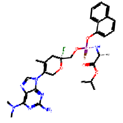 CC1=C(n2cnc3c(N(C)C)nc(N)nc32)CO[C@](F)(CO[P@@](=S)(N[C@H](C)C(=O)OC(C)C)Oc2cccc3ccccc23)C1